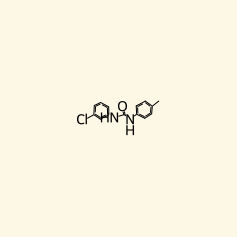 Cc1ccc(NC(=O)Nc2cccc(Cl)c2)cc1